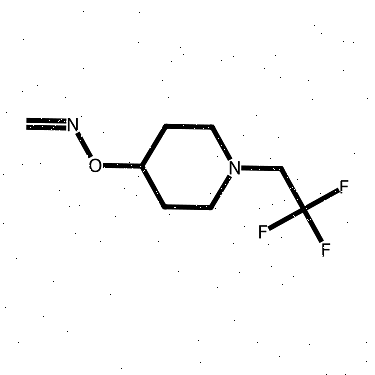 C=NOC1CCN(CC(F)(F)F)CC1